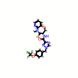 CN1C(=S)[C@@H](NC(=O)c2ncn(Cc3ccc(OC(F)(F)F)cc3)n2)COc2cccnc21